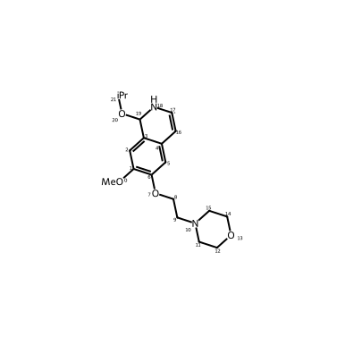 COc1cc2c(cc1OCCN1CCOCC1)C=[C]NC2OC(C)C